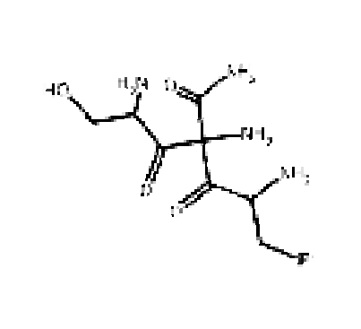 CC(C)CC(N)C(=O)C(N)(C(N)=O)C(=O)C(N)CO